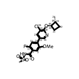 COc1cc(C(=O)NS(C)(=O)=O)c(F)cc1-c1cnc(O[C@@H]2CC[C@H]2C)c(Cl)c1